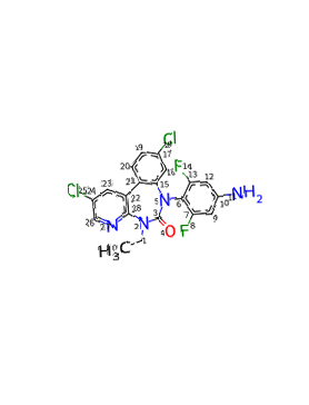 CCN1C(=O)N(c2c(F)cc(N)cc2F)c2cc(Cl)ccc2-c2cc(Cl)cnc21